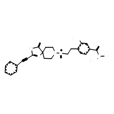 Cc1cc(C(=O)N(C)C)ccc1CCS(=O)(=O)N1CCC2(CC1)N=C(C#Cc1ccccc1)NC2=O